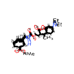 CCN(CC)c1ccc2c(C)c(CCOC(=O)NCc3cccc(C(=O)ONC)c3)c(=O)oc2c1